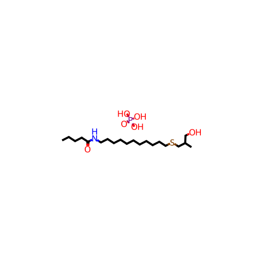 CCCCC(=O)NCCCCCCCCCCCSCC(C)CO.O=P(O)(O)O